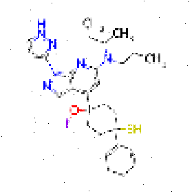 CCCN(c1cc([C@]2(OI)CC[C@](S)(C3=CCCC=C3)CC2)c2cnn(-c3cc[nH]n3)c2n1)C(C)CC